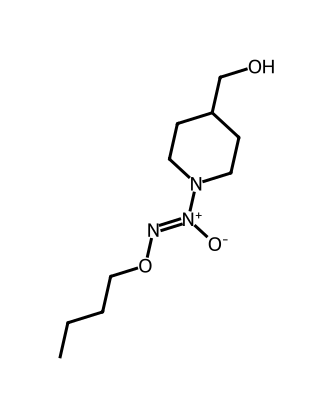 CCCCON=[N+]([O-])N1CCC(CO)CC1